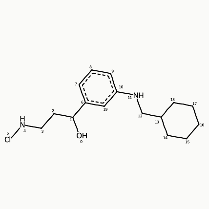 OC(CCNCl)c1cccc(NCC2CCCCC2)c1